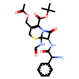 CC(=O)OCC1=C(C(=O)OC(C)(C)C)N2C(=O)[C@@H](NC(=O)C(N)c3ccccc3)C2(NC=O)SC1